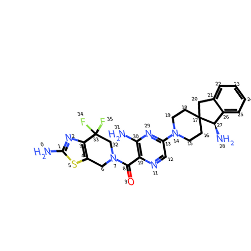 Nc1nc2c(s1)CN(C(=O)c1ncc(N3CCC4(CC3)Cc3ccccc3[C@H]4N)nc1N)CC2(F)F